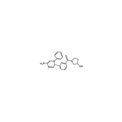 NC1=CN(c2ccccc2)C(c2cccc(C(=O)N3CCC(O)C3)c2)C=N1